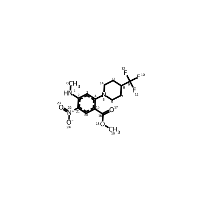 CNc1cc(N2CCC(C(F)(F)F)CC2)c(C(=O)OC)cc1[N+](=O)[O-]